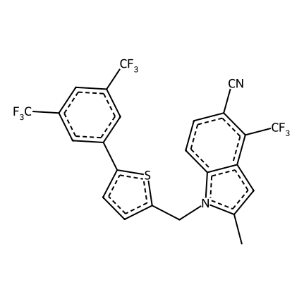 Cc1cc2c(C(F)(F)F)c(C#N)ccc2n1Cc1ccc(-c2cc(C(F)(F)F)cc(C(F)(F)F)c2)s1